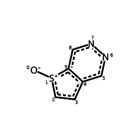 [O-][s+]1ccc2cnncc21